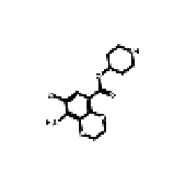 Nc1c(Cl)cc(C(=O)OC2CCNCC2)c2c1OCCO2